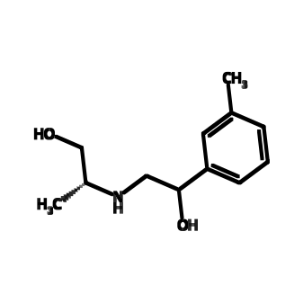 Cc1cccc(C(O)CN[C@H](C)CO)c1